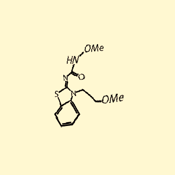 COCCn1c(=NC(=O)NOC)sc2ccccc21